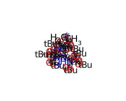 CC(C)(C)OC(=O)CCC(CCC(=O)OC(C)(C)C)(CCC(=O)OC(C)(C)C)NC(=O)CCC(N)(CCC(=O)NC(CCC(=O)OC(C)(C)C)(CCC(=O)OC(C)(C)C)CCC(=O)OC(C)(C)C)CCC(=O)NC(CCC(=O)OC(C)(C)C)(CCC(=O)OC(C)(C)C)CCC(=O)OC(C)(C)I